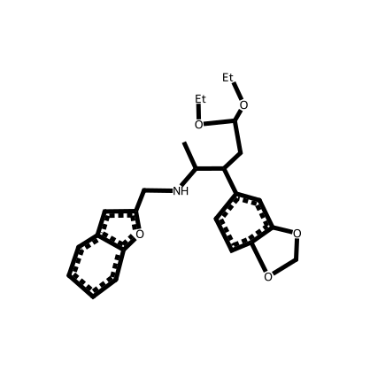 CCOC(CC(c1ccc2c(c1)OCO2)C(C)NCc1cc2ccccc2o1)OCC